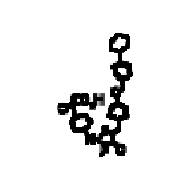 CN1C(=O)C(=Cc2ccc(OCc3ccc(C4CCCCC4)cc3)cc2)SC1=Nc1ccc(C(=O)C(=O)O)cc1